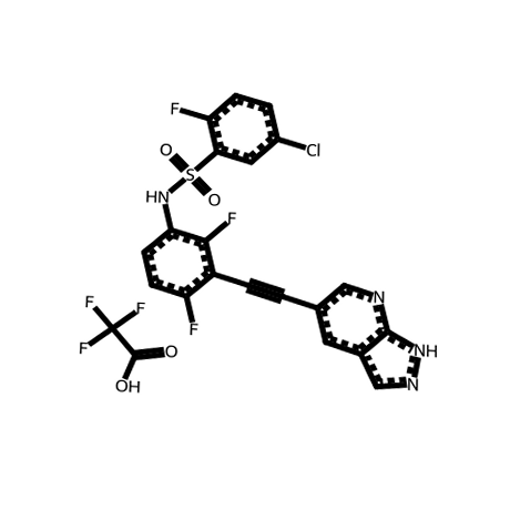 O=C(O)C(F)(F)F.O=S(=O)(Nc1ccc(F)c(C#Cc2cnc3[nH]ncc3c2)c1F)c1cc(Cl)ccc1F